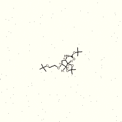 CC(C)(C)OCCO[C@H]1C[C@@H](NC(=O)OC(C)(C)C)[C@@H]2OC(C)(C)O[C@@H]21